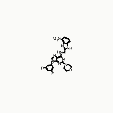 O=[N+]([O-])c1cccc2[nH]c(CNc3nc(N4CCOCC4)nc4c3ncn4-c3cc(F)cc(F)c3)nc12